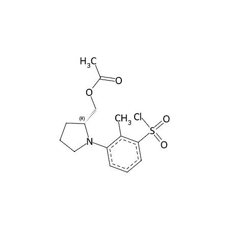 CC(=O)OC[C@H]1CCCN1c1cccc(S(=O)(=O)Cl)c1C